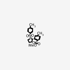 COS(=O)(=O)c1ccc(C)cc1[C@@H]1CCCN1S(=O)(=O)c1ccc(C)cc1